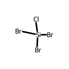 Cl[Si](Br)(Br)Br